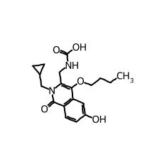 CCCCOc1c(CNC(=O)O)n(CC2CC2)c(=O)c2ccc(O)cc12